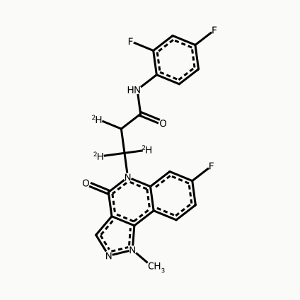 [2H]C(C(=O)Nc1ccc(F)cc1F)C([2H])([2H])n1c(=O)c2cnn(C)c2c2ccc(F)cc21